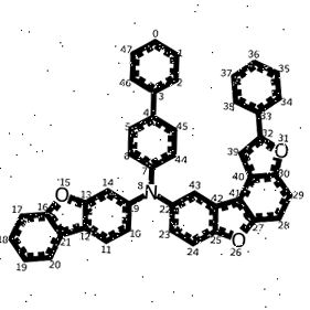 c1ccc(-c2ccc(N(c3ccc4c(c3)oc3ccccc34)c3ccc4oc5ccc6oc(-c7ccccc7)cc6c5c4c3)cc2)cc1